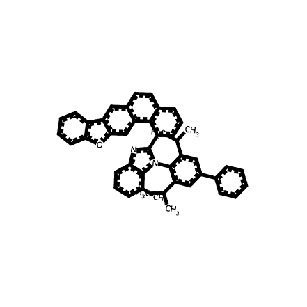 Cc1cccc2nc(-c3cccc4ccc5cc6c(cc5c34)oc3ccccc36)n(-c3c(C(C)C)cc(-c4ccccc4)cc3C(C)C)c12